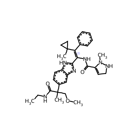 CCNC(=O)C(C)(COC)c1ccc2[nH]c(/C(NC(=O)C3=CCNN3C)=C(/c3ccccc3)C3(C)CC3)nc2c1